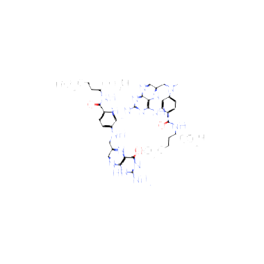 CN(Cc1cnc2nc(N)nc(N)c2n1)c1ccc(C(=O)N[C@@H](CCC(=O)O)C(=O)O)cc1.Nc1nc(=O)c2nc(CNc3ccc(C(=O)N[C@@H](CCC(=O)O)C(=O)O)cc3)cnc2[nH]1